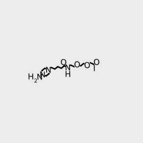 NN1CCN(CCCCC(=O)NCCOCCOCC(=O)I)CC1